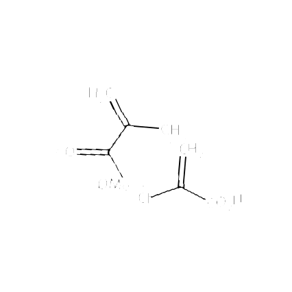 C=C(C)C(=O)OC.C=C(Cl)C(=O)O